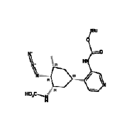 C[C@@H]1C[C@H](c2ccncc2NC(=O)OC(C)(C)C)C[C@H](NC(=O)O)[C@@H]1N=[N+]=[N-]